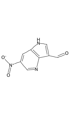 O=Cc1c[nH]c2cc([N+](=O)[O-])cnc12